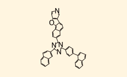 c1ccc2cc(-c3nc(-c4ccc(-c5cccc6ccccc56)cc4)nc(-c4ccc5c(ccc6c7cnccc7oc56)c4)n3)ccc2c1